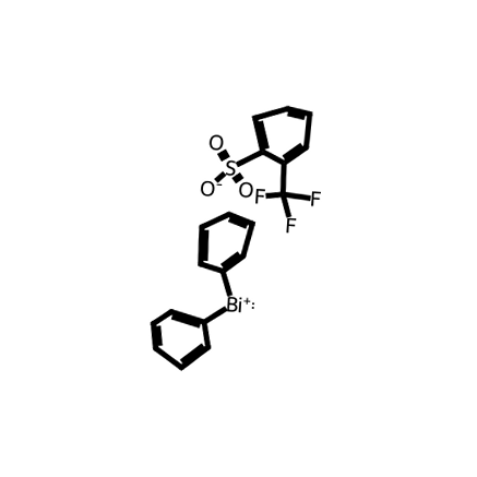 O=S(=O)([O-])c1ccccc1C(F)(F)F.c1cc[c]([Bi+][c]2ccccc2)cc1